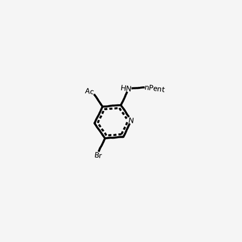 CCCCCNc1ncc(Br)cc1C(C)=O